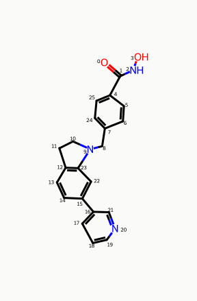 O=C(NO)c1ccc(CN2CCc3ccc(-c4cccnc4)cc32)cc1